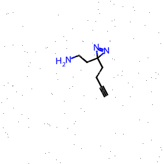 C#CCCC1(CCN)N=N1